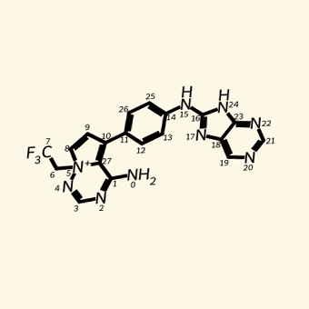 NC1=NC=N[N+]2(CC(F)(F)F)C=CC(c3ccc(Nc4nc5cncnc5[nH]4)cc3)=C12